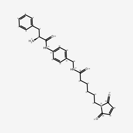 N[C@@H](Cc1ccccc1)C(=O)Nc1ccc(CNC(=O)CCCCCN2C(=O)C=CC2=O)cc1